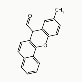 Cc1ccc2c(c1)C(C=O)c1ccc3ccccc3c1O2